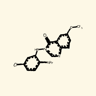 CCCc1ccc(Cl)cc1Nn1cnc2ccc(OC(F)(F)F)cc2c1=O